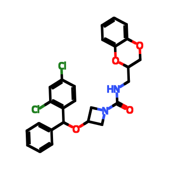 O=C(NCC1COc2ccccc2O1)N1CC(OC(c2ccccc2)c2ccc(Cl)cc2Cl)C1